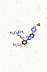 COc1cc(OCCCN(C)C)c(-c2cn3ccc(N4CCN(SC5CC5)CC4)cc3n2)cc1Cl